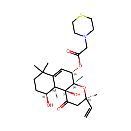 C=C[C@@]1(C)CC(=O)[C@@]2(O)[C@](C)(O1)[C@@H](OC(=O)CN1CCSCC1)C=C1C(C)(C)CC[C@H](O)[C@@]12C